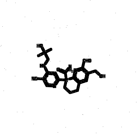 CC(C)(O)CNc1cc([N+]2(C(N)=O)CCCc3cc(CO)c(C=O)nc32)ncc1C#N